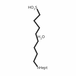 CCCCCCCCCCCCCCCS(=O)(=O)O.O